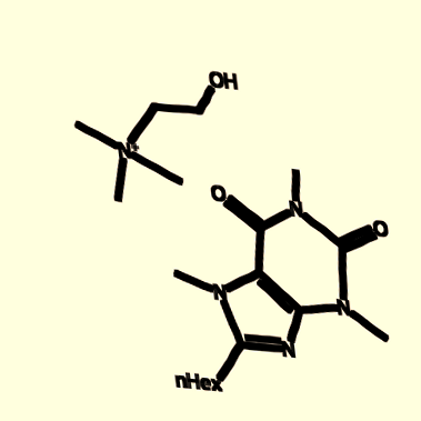 CCCCCCc1nc2c(c(=O)n(C)c(=O)n2C)n1C.C[N+](C)(C)CCO